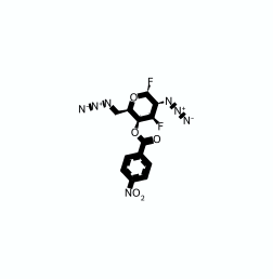 [N-]=[N+]=NC[C@H]1O[C@H](F)[C@H](N=[N+]=[N-])[C@@H](F)[C@H]1OC(=O)c1ccc([N+](=O)[O-])cc1